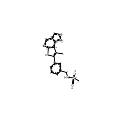 CC1=C(c2cccc(CNS(C)(=O)=O)c2)[N]c2ncc3cn[nH]c3c21